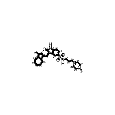 Cc1cc(C=C2C(=O)Nc3ccc(S(=O)(=O)NCCCN4CCN(C)CC4)cc32)c2cccccc1-2